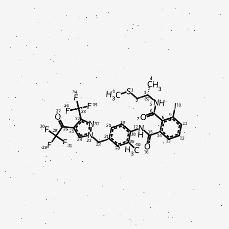 CSC[C@H](C)NC(=O)c1c(I)cccc1C(=O)Nc1ccc(Cn2cc(C(=O)C(F)(F)F)c(C(F)(F)F)n2)cc1C